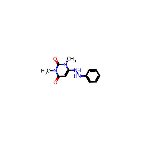 Cn1c(NNc2ccccc2)cc(=O)n(C)c1=O